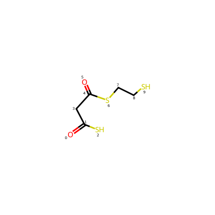 O=C(S)CC(=O)SCCS